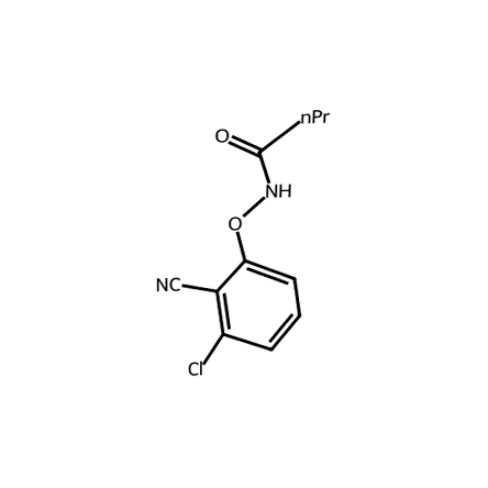 CCCC(=O)NOc1cccc(Cl)c1C#N